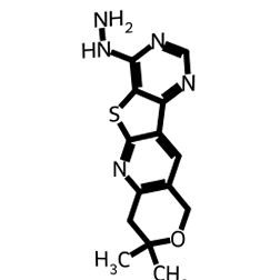 CC1(C)Cc2nc3sc4c(NN)ncnc4c3cc2CO1